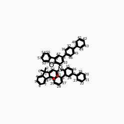 CC1(C)c2ccccc2-c2ccc(N(c3ccc(-c4ccccc4)cc3-c3ccccc3)c3cc(-c4ccc(-c5ccccc5)cc4)cc4c3oc3ccccc34)cc21